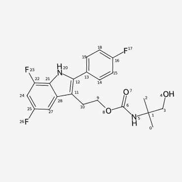 CC(C)(CO)NC(=O)OCCc1c(-c2ccc(F)cc2)[nH]c2c(F)cc(F)cc12